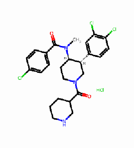 CN(C(=O)c1ccc(Cl)cc1)[C@@H]1CCN(C(=O)C2CCCNC2)C[C@H]1c1ccc(Cl)c(Cl)c1.Cl